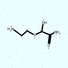 NCCSC(O)C(N)=O